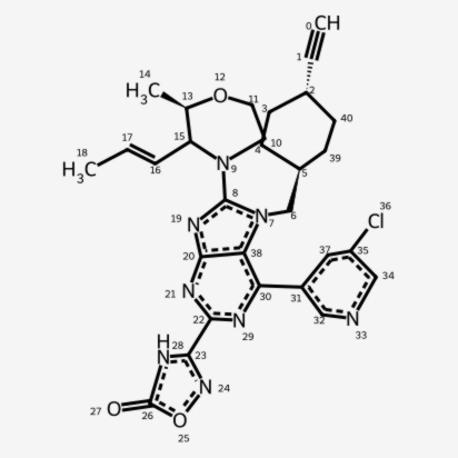 C#C[C@H]1CC[C@H](Cn2c(N3CCO[C@H](C)C3/C=C/C)nc3nc(-c4noc(=O)[nH]4)nc(-c4cncc(Cl)c4)c32)CC1